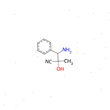 CC(O)(C#N)C(N)c1ccccc1